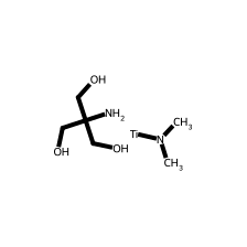 C[N](C)[Ti].NC(CO)(CO)CO